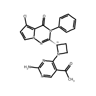 CC(=O)c1cnc(N)nc1N1CC[C@H]1c1nn2ccc(Cl)c2c(=O)n1-c1ccccc1